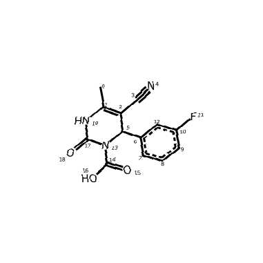 CC1=C(C#N)C(c2cccc(F)c2)N(C(=O)O)C(=O)N1